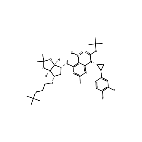 Cc1nc(N[C@@H]2C[C@H](OCCOC(C)(C)C)[C@H]3OC(C)(C)O[C@H]32)c([N+](=O)[O-])c(N(C(=O)OC(C)(C)C)[C@@H]2C[C@H]2c2ccc(F)c(F)c2)n1